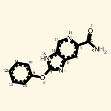 NC(=O)c1cc2nc(Oc3ccccc3)[nH]c2cn1